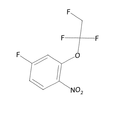 O=[N+]([O-])c1ccc(F)cc1OC(F)(F)CF